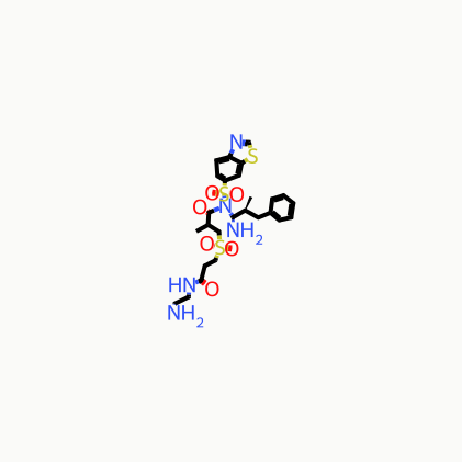 CC(CS(=O)(=O)CCC(=O)NCCN)C(=O)N([C@H](N)[C@@H](C)Cc1ccccc1)S(=O)(=O)c1ccc2ncsc2c1